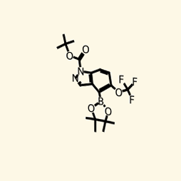 CC(C)(C)OC(=O)n1ncc2c(B3OC(C)(C)C(C)(C)O3)c(OC(F)(F)F)ccc21